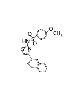 COc1ccc(S(=O)(=O)Nc2nc(-c3ccc4ccccc4c3)cs2)cc1